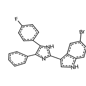 Fc1ccc(-c2[nH]c(-c3c[nH]c4ccc(Br)cc34)nc2-c2ccccc2)cc1